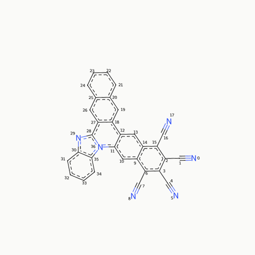 N#Cc1c(C#N)c(C#N)c2cc3c(cc2c1C#N)c1cc2ccccc2cc1c1nc2ccccc2n31